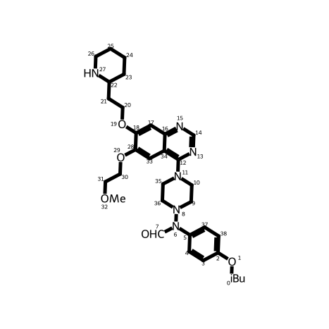 CCC(C)Oc1ccc(N(C=O)N2CCN(c3ncnc4cc(OCCC5CCCCN5)c(OCCOC)cc34)CC2)cc1